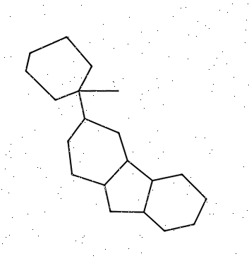 CC1(C2CCC3CC4CCCCC4C3C2)CCCCC1